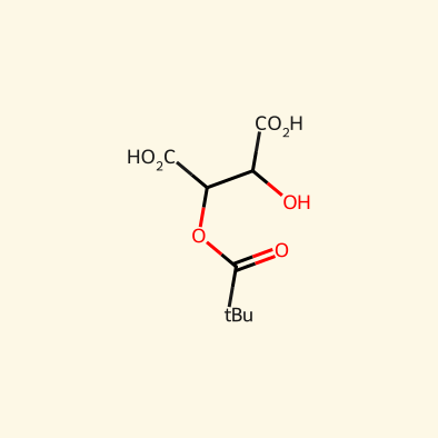 CC(C)(C)C(=O)OC(C(=O)O)C(O)C(=O)O